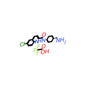 NC[C@H]1CC[C@H](NC(=O)c2ccc3cc(Cl)ccc3n2)CC1.O=C(O)C(F)(F)F